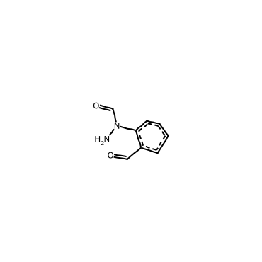 NN(C=O)c1ccccc1C=O